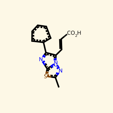 Cc1nn2c(/C=C/C(=O)O)c(-c3ccccc3)nc2s1